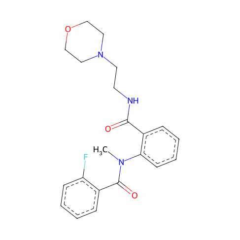 CN(C(=O)c1ccccc1F)c1ccccc1C(=O)NCCN1CCOCC1